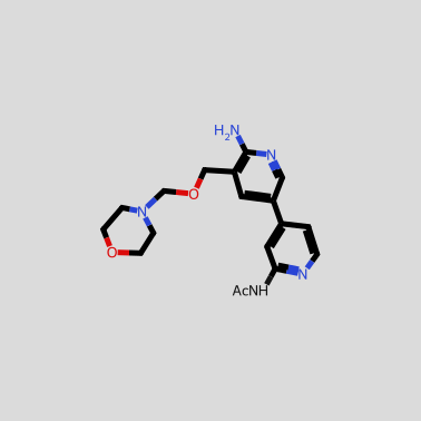 CC(=O)Nc1cc(-c2cnc(N)c(COCN3CCOCC3)c2)ccn1